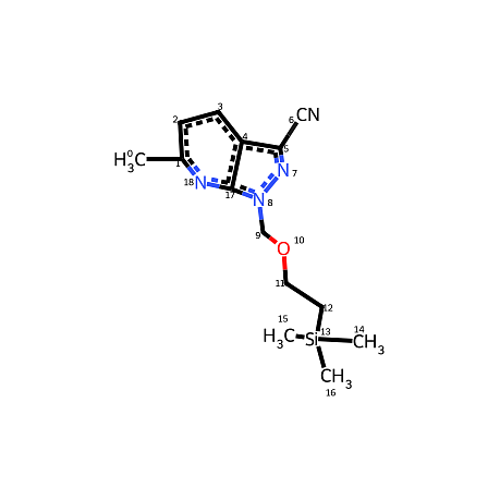 Cc1ccc2c(C#N)nn(COCC[Si](C)(C)C)c2n1